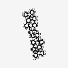 c1ccc(N(c2cccc(-c3cccc(C4(c5ccccc5)c5ccccc5-c5ccccc54)c3)c2)c2ccc3ccc4c(N(c5ccccc5)c5cccc(-c6cccc(C7(c8ccccc8)c8ccccc8-c8ccccc87)c6)c5)ccc5ccc2c3c54)cc1